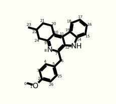 COc1ccc(Cc2nc3c(c4c2[nH]c2ccccc24)CCC(C)C3)cc1